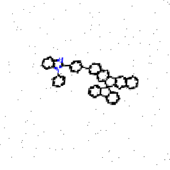 c1ccc(-n2c(-c3ccc(-c4ccc5cc6c(cc5c4)C4(c5ccccc5-c5ccccc54)c4cc5ccccc5cc4-6)cc3)nc3ccccc32)cc1